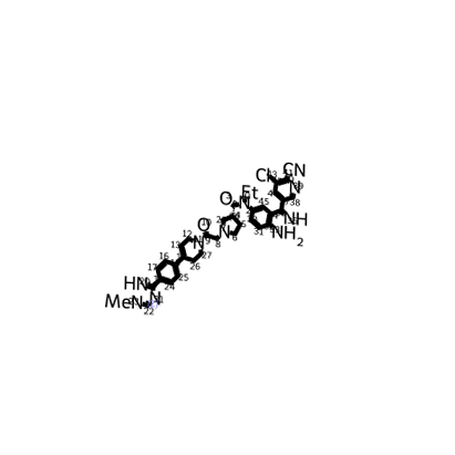 CCN(C(=O)[C@@H]1CCN(CC(=O)N2CC=C(c3ccc(C(=N)/N=C\NC)cc3)CC2)C1)c1ccc(N)c(C(=N)c2cnc(C#N)c(Cl)c2)c1